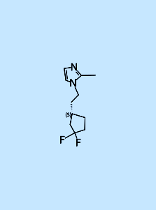 Cc1nccn1CC[C@@H]1CCC(F)(F)C1